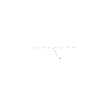 OCCOCCOCCOCC(COCCOCCOCCO)OCCOCCO